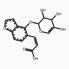 O=C(O)/C=C\c1ccc2occc2c1OC1OC=C(O)C(O)C1O